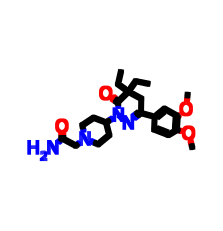 CCC1(CC)CC(c2ccc(OC)c(OC)c2)=NN(C2CCN(CC(N)=O)CC2)C1=O